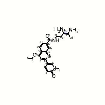 CCOc1cc(-c2ccc(=O)n(C)c2)nc2cc(C(=O)NCC/C(N)=C(\C)N)ccc12